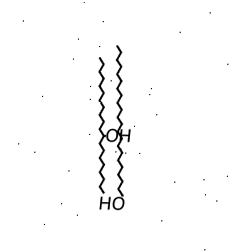 CCCCCCCCCCCC(O)CCCCCCCC.CCCCCCCCCCCCCCCCCCCCCCO